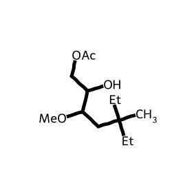 CCC(C)(CC)CC(OC)C(O)COC(C)=O